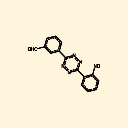 O=Cc1cccc(-c2nnc(-c3ccccc3N=O)nn2)c1